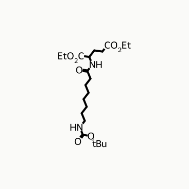 CCOC(=O)CCC(NC(=O)CCCCCCCNC(=O)OC(C)(C)C)C(=O)OCC